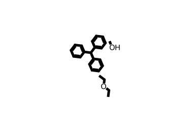 CCOCC.CO.c1ccc(C(c2ccccc2)c2ccccc2)cc1